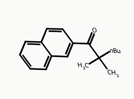 CCCCC(C)(C)C(=O)c1ccc2ccccc2c1